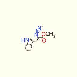 COC(=O)[C@@H](Cc1c[nH]c2ccccc12)N=[N+]=[N-]